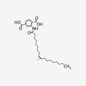 CCCCCCCC/C=C\CCCCCCCC(=O)Nc1cc(C(=O)O)ccc1C(=O)O